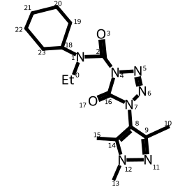 CCN(C(=O)n1nnn(-c2c(C)nn(C)c2C)c1=O)C1CCCCC1